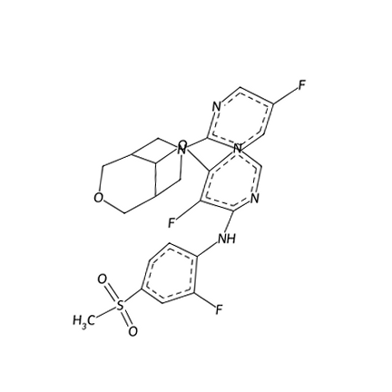 CS(=O)(=O)c1ccc(Nc2ncnc(OC3C4COCC3CN(c3ccc(F)cn3)C4)c2F)c(F)c1